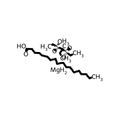 CCC(C)(S(=O)(=O)CC)S(=O)(=O)CC.CCCCCCCCCCCCCCCCCC(=O)O.[MgH2]